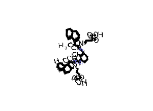 CC1(C)C(/C=C/C2=C(Cl)C(=C\C=C3/N(CCCS(=O)(=O)O)c4ccc5ccccc5c4C3(C)C)/CCC2)=[N+](CCCS(=O)(=O)O)c2ccc3ccccc3c21